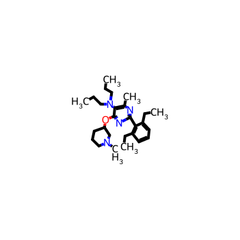 CCCN(CCC)c1c(C)nc(-c2c(CC)cccc2CC)nc1OC1CCCN(C)C1